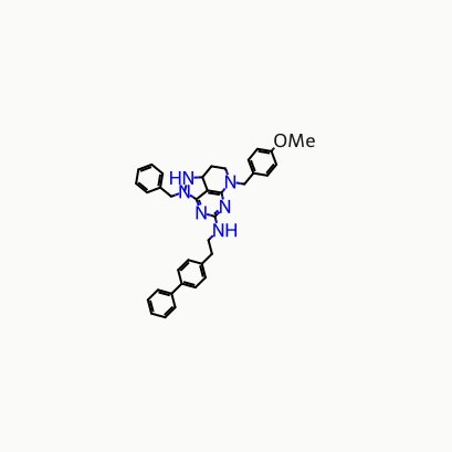 COc1ccc(CN2CCC3NN(Cc4ccccc4)c4nc(NCCc5ccc(-c6ccccc6)cc5)nc2c43)cc1